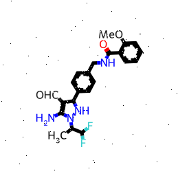 COc1ccccc1C(=O)NCc1ccc(C2NN(C(C)C(F)F)C(N)=C2C=O)cc1